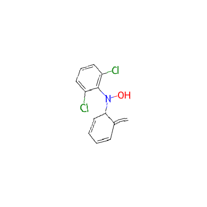 C=C1C=CC=CC1N(O)c1c(Cl)cccc1Cl